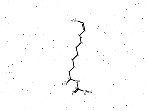 CCCCCCCC/C=C\CCCCCCCC(O)OC(=O)CCCCC